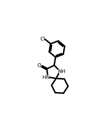 O=C1NC2(CCCCC2)NC1c1cccc(Cl)c1